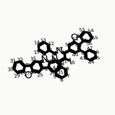 Ic1c(-c2ccccc2)nc(-c2ccccc2-n2c3ccccc3c3cc4oc5ccccc5c4cc32)nc1-c1cc(-c2ccccc2)c2c(c1)oc1ccccc12